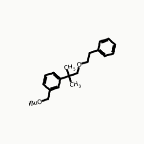 CC(C)COCc1cccc(C(C)(C)COCCc2ccccc2)c1